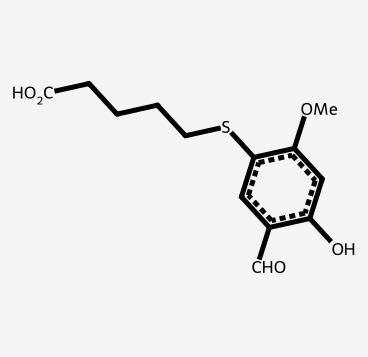 COc1cc(O)c(C=O)cc1SCCCCC(=O)O